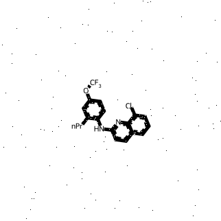 CCCc1cc(OC(F)(F)F)ccc1Nc1ccc2cccc(Cl)c2n1